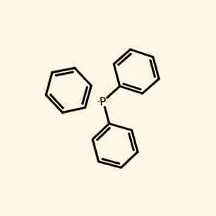 c1ccc([P]c2ccccc2)cc1.c1ccccc1